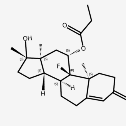 CCC(=O)O[C@H]1C[C@@]2(C)[C@@H](CC[C@]2(C)O)[C@@H]2CCC3=CC(=O)CC[C@]3(C)[C@@]12F